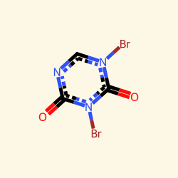 O=c1ncn(Br)c(=O)n1Br